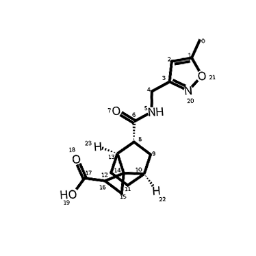 Cc1cc(CNC(=O)[C@@H]2C[C@H]3CC[C@@H]2C32CC2C(=O)O)no1